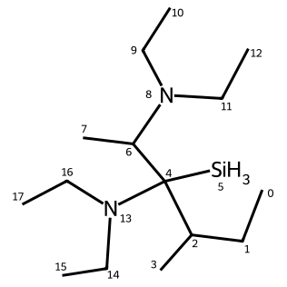 CCC(C)C([SiH3])(C(C)N(CC)CC)N(CC)CC